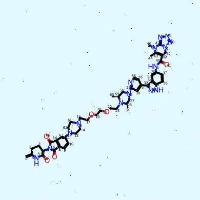 C=C1CCC(N2C(=O)c3ccc(N4CCN(CCOCCOCCN5[C@H](C)CN(c6cc(-c7n[nH]c8ccc(NC(=O)C9=C(C)N(C)c%10nnnn%10C9)cc78)ccn6)C[C@@H]5C)CC4)cc3C2=O)C(=O)N1